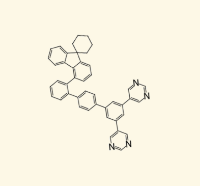 c1ccc(-c2cccc3c2-c2ccccc2C32CCCCC2)c(-c2ccc(-c3cc(-c4cncnc4)cc(-c4cncnc4)c3)cc2)c1